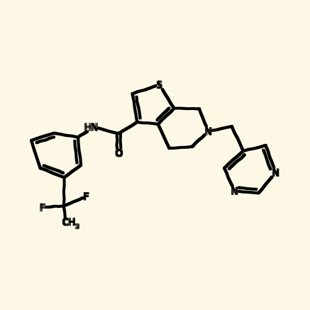 CC(F)(F)c1cccc(NC(=O)c2csc3c2CCN(Cc2cncnc2)C3)c1